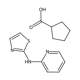 O=C(O)C1CCCC1.c1ccc(Nc2nccs2)nc1